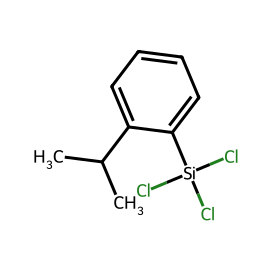 CC(C)c1ccccc1[Si](Cl)(Cl)Cl